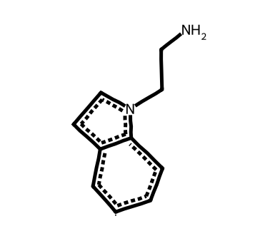 NCCn1ccc2c[c]ccc21